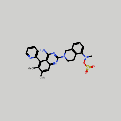 COc1cc2nc(N3CCc4c(cccc4N(C)O[SH](=O)=O)C3)nc(N)c2c(-c2ccccn2)c1OC